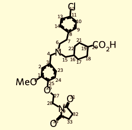 COc1cc(CN(CCc2ccc(Cl)cc2)CC2CCC(C(=O)O)CC2)ccc1OCCN1C(=O)CCC1=O